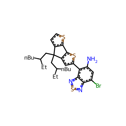 CCCCC(CC)CC1(CC(CC)CCCC)c2ccsc2-c2sc(-c3c(N)cc(Br)c4nsnc34)cc21